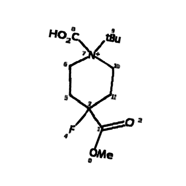 COC(=O)C1(F)CC[N+](C(=O)O)(C(C)(C)C)CC1